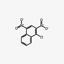 O=[N+]([O-])c1cc([N+](=O)[O-])c2ccccc2c1Cl